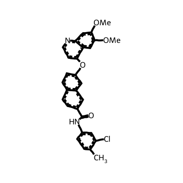 COc1cc2nccc(Oc3ccc4ccc(C(=O)Nc5ccc(C)c(Cl)c5)cc4c3)c2cc1OC